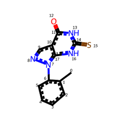 Cc1ccccc1-n1ncc2c(=O)[nH]c(=S)[nH]c21